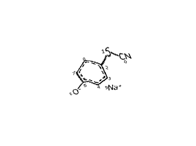 N#CSc1ccc([O-])cc1.[Na+]